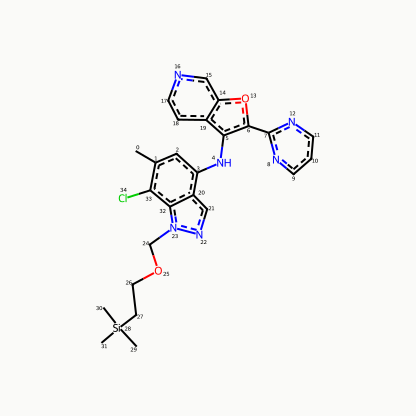 Cc1cc(Nc2c(-c3ncccn3)oc3cnccc23)c2cnn(COCC[Si](C)(C)C)c2c1Cl